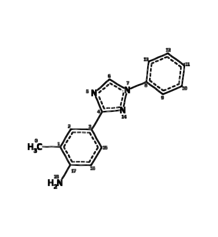 Cc1cc(-c2ncn(-c3cc[c]cc3)n2)ccc1N